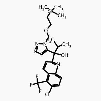 CC(C)C(O)(c1ccc2c(C(F)(F)F)c(Cl)ccc2n1)c1cnnn1COCC[Si](C)(C)C